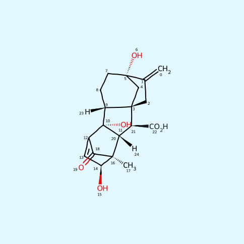 C=C1C[C@]23C[C@@]1(O)CC[C@H]2[C@]1(O)C2=C[C@H](O)[C@@](C)(C2=O)[C@H]1[C@@H]3C(=O)O